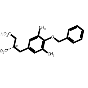 Cc1cc(C[C@@H](CC(=O)O)C(=O)O)cc(C)c1OCc1ccccc1